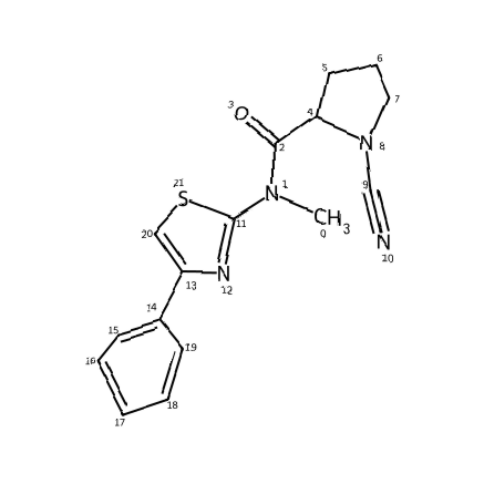 CN(C(=O)C1CCCN1C#N)c1nc(-c2ccccc2)cs1